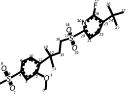 COc1cc(S(C)(=O)=O)ccc1C(C)(C)CCS(=O)(=O)c1ccc(C(C)(C)C)c(F)n1